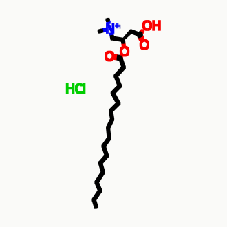 CCCCCCCCCCCCCCCCCC(=O)O[C@H](CC(=O)O)C[N+](C)(C)C.Cl